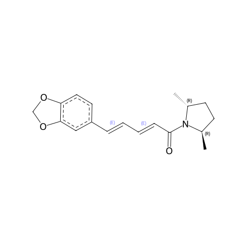 C[C@@H]1CC[C@@H](C)N1C(=O)/C=C/C=C/c1ccc2c(c1)OCO2